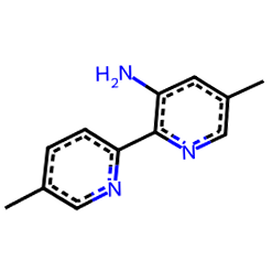 Cc1ccc(-c2ncc(C)cc2N)nc1